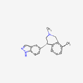 Cc1cccc2c1CN(C)CC2c1ccc2[nH]ncc2c1